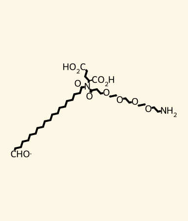 NCCOCCOCCOCCOCCC(=O)N(C(=O)CCCCCCCCCCCCCCCCCC[C]=O)[C@@H](CCC(=O)O)C(=O)O